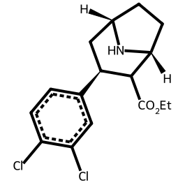 CCOC(=O)C1[C@@H](c2ccc(Cl)c(Cl)c2)C[C@@H]2CC[C@H]1N2